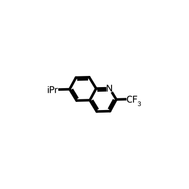 CC(C)c1ccc2nc(C(F)(F)F)ccc2c1